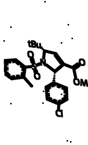 COC(=O)C1=C[C@@H](C(C)(C)C)N(S(=O)(=O)c2ccccc2C)[C@H]1c1ccc(Cl)cc1